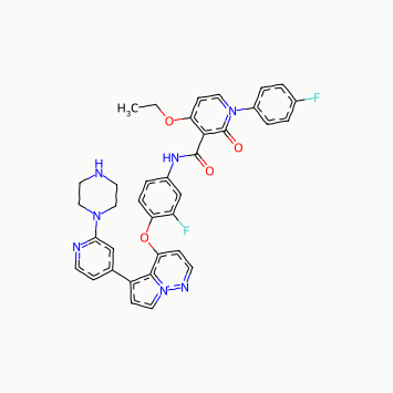 CCOc1ccn(-c2ccc(F)cc2)c(=O)c1C(=O)Nc1ccc(Oc2ccnn3ccc(-c4ccnc(N5CCNCC5)c4)c23)c(F)c1